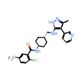 Cc1n[nH]c(NC[C@H]2CC[C@H](NC(=O)c3cc(C(F)(F)F)ccc3Cl)CC2)c1-c1cccnc1